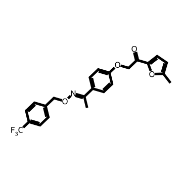 C/C(=N\OCc1ccc(C(F)(F)F)cc1)c1ccc(OCC(=O)c2ccc(C)o2)cc1